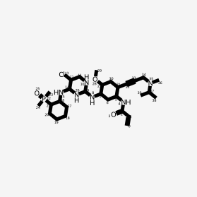 C=CC(=O)NC1CC(NC2NCC(Cl)C(NC3CCCCC3P(C)(C)=O)N2)C(OC)CC1C#CCN(C)C(C)C